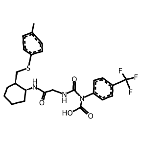 Cc1ccc(SC[C@@H]2CCCC[C@@H]2NC(=O)CNC(=O)N(C(=O)O)c2ccc(C(F)(F)F)cc2)cc1